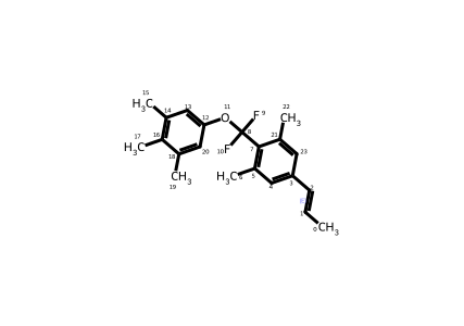 C/C=C/c1cc(C)c(C(F)(F)Oc2cc(C)c(C)c(C)c2)c(C)c1